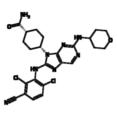 N#Cc1ccc(Cl)c(Nc2nc3cnc(NC4CCOCC4)nc3n2[C@H]2CC[C@@H](C(N)=O)CC2)c1Cl